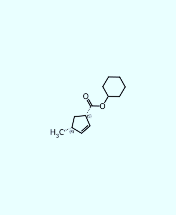 C[C@H]1C=C[C@@H](C(=O)OC2CCCCC2)C1